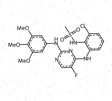 COc1cc(Nc2ncc(F)c(Nc3cccc(Cl)c3NS(C)(=O)=O)n2)cc(OC)c1OC